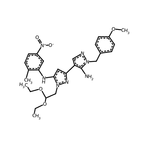 CCOC(Cn1nc(-c2cnn(Cc3ccc(OC)cc3)c2N)cc1Nc1cc([N+](=O)[O-])ccc1C)OCC